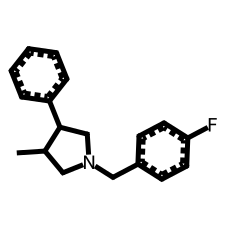 CC1CN(Cc2ccc(F)cc2)CC1c1ccccc1